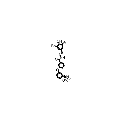 CS(=O)(=O)Nc1cccc(Oc2cccc(C(=O)NN=Cc3cc(Br)c(O)c(Br)c3)c2)c1